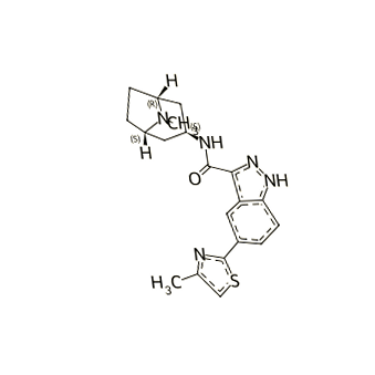 Cc1csc(-c2ccc3[nH]nc(C(=O)N[C@@H]4C[C@H]5CC[C@@H](C4)N5C)c3c2)n1